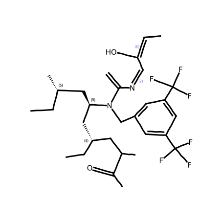 C=C(/N=C\C(O)=C/C)N(Cc1cc(C(F)(F)F)cc(C(F)(F)F)c1)[C@H](C[C@@H](C)CC)C[C@@H](CC)CC(C)C(C)=O